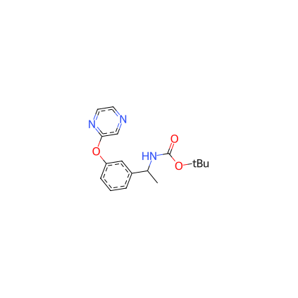 CC(NC(=O)OC(C)(C)C)c1cccc(Oc2cnccn2)c1